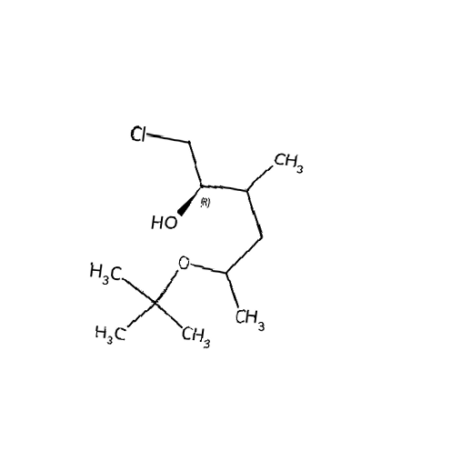 CC(CC(C)[C@@H](O)CCl)OC(C)(C)C